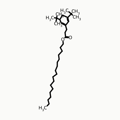 CCCCCCCCCCCCCCCCCCOC(=O)CCC1=CC(C(C)(C)C)CC(C(C)(C)C)=C1